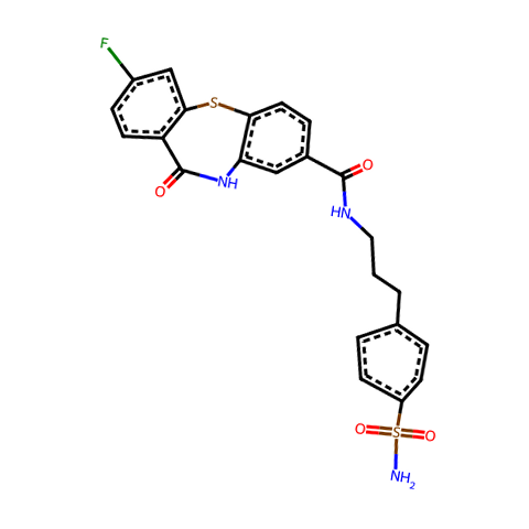 NS(=O)(=O)c1ccc(CCCNC(=O)c2ccc3c(c2)NC(=O)c2ccc(F)cc2S3)cc1